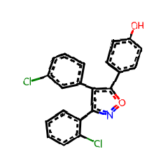 Oc1ccc(-c2onc(-c3ccccc3Cl)c2-c2cccc(Cl)c2)cc1